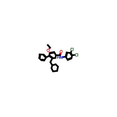 CCOC1=CC(C(=O)Nc2ccc(Cl)c(Cl)c2)CC(CC2CCCCC2)=C1c1ccccc1